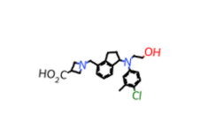 Cc1cc(N(CCO)C2CCc3c(CN4CC(C(=O)O)C4)cccc32)ccc1Cl